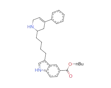 CCCCOC(=O)c1ccc2[nH]cc(CCCCC3CC(c4ccccc4)=CCN3)c2c1